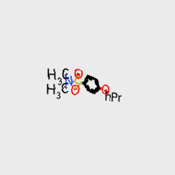 CCCOc1ccc(S(=O)(=O)N(C)C)cc1